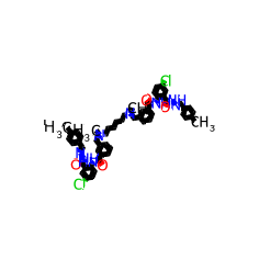 Cc1ccc(C=NNC(=O)c2cc(Cl)ccc2NC(=O)c2cccc(CN(C)CCCCCCN(C)Cc3cccc(C(=O)Nc4ccc(Cl)cc4C(=O)NN=Cc4ccc(C)cc4)c3)c2)cc1